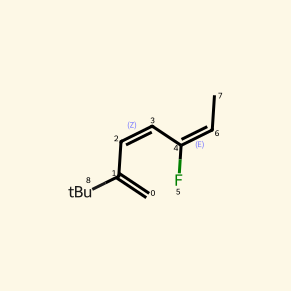 C=C(/C=C\C(F)=C/C)C(C)(C)C